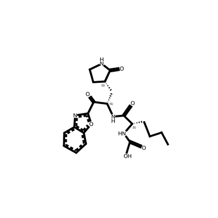 CCCC[C@H](NC(=O)O)C(=O)N[C@@H](C[C@@H]1CCNC1=O)C(=O)c1nc2ccccc2o1